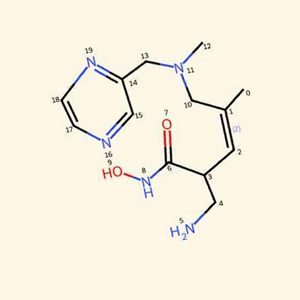 C/C(=C/C(CN)C(=O)NO)CN(C)Cc1cnccn1